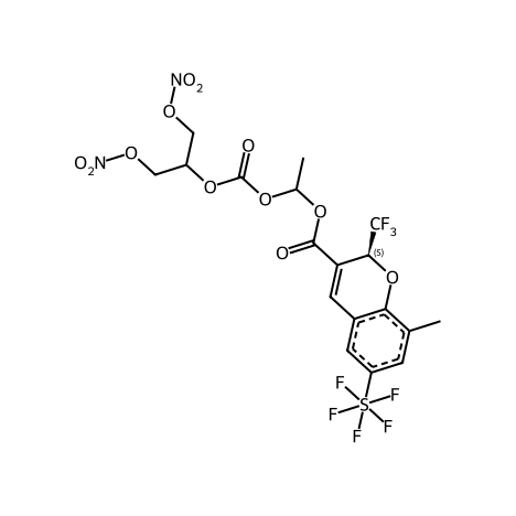 Cc1cc(S(F)(F)(F)(F)F)cc2c1O[C@H](C(F)(F)F)C(C(=O)OC(C)OC(=O)OC(CO[N+](=O)[O-])CO[N+](=O)[O-])=C2